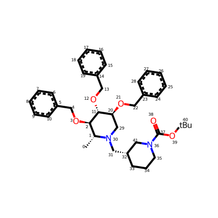 C[C@@H]1[C@@H](OCc2ccccc2)[C@H](OCc2ccccc2)[C@@H](OCc2ccccc2)CN1C[C@H]1CCCN(C(=O)OC(C)(C)C)C1